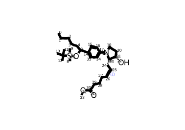 CCCCCC(O[Si](C)(C)C(C)(C)C)c1ccc(N2CC[C@H](O)[C@@H]2C/C=C\CCCC(=O)OC)cc1